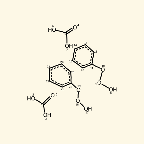 O=C(O)O.O=C(O)O.OOOc1ccccc1.OOOc1ccccc1